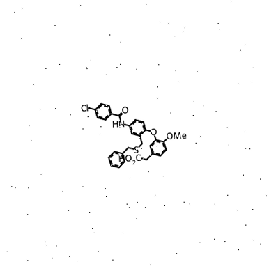 COc1ccc(CC(=O)O)cc1Oc1ccc(NC(=O)c2ccc(Cl)cc2)cc1CSCc1ccccc1